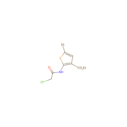 CCOC(=O)c1cc(CC)sc1NC(=O)CCl